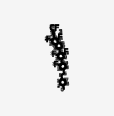 Cc1ccc(CCc2ccc(-c3cc(F)c(-c4ccc5c(F)c(C#CC(F)(F)F)c(F)cc5c4)c(F)c3)c(F)c2)cc1